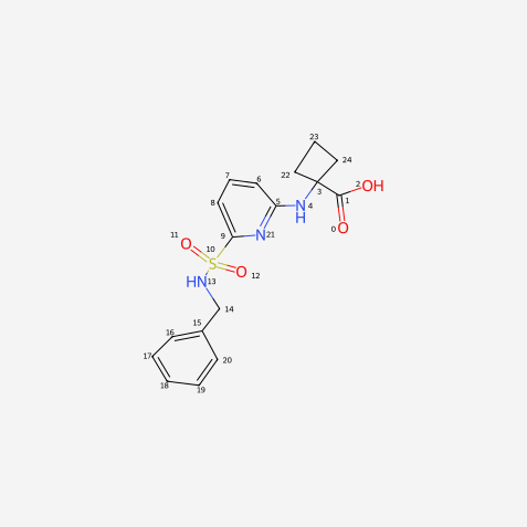 O=C(O)C1(Nc2cccc(S(=O)(=O)NCc3ccccc3)n2)CCC1